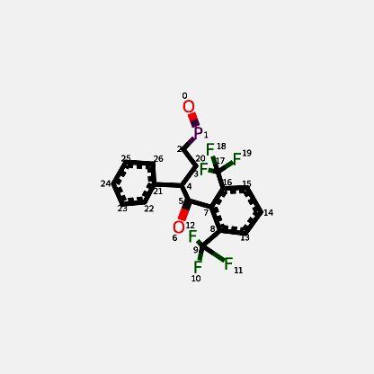 O=PCCC(C(=O)c1c(C(F)(F)F)cccc1C(F)(F)F)c1ccccc1